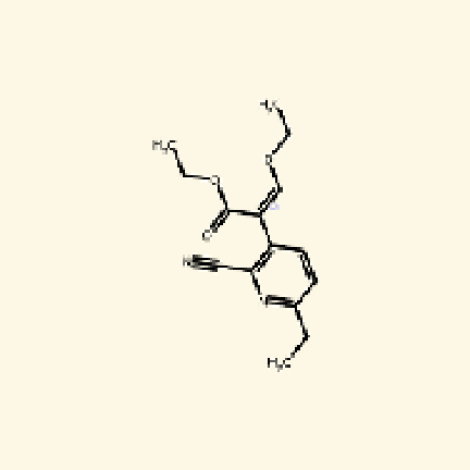 CCO/C=C(\C(=O)OCC)c1ccc(CC)nc1C#N